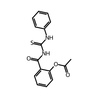 CC(=O)Oc1ccccc1C(=O)NC(=S)Nc1ccccc1